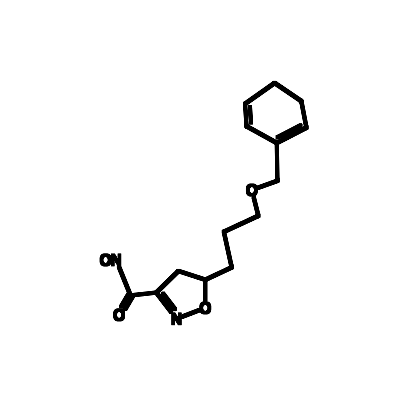 O=NC(=O)C1=NOC(CCCOCC2=CCCC=C2)C1